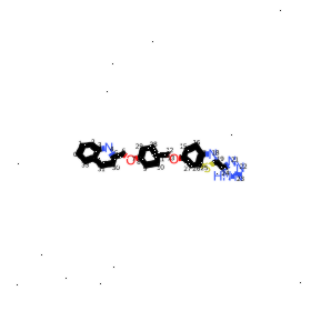 c1ccc2nc(COc3ccc(COc4ccc5nc(-c6nnn[nH]6)sc5c4)cc3)ccc2c1